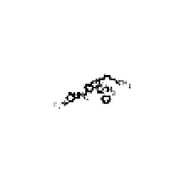 C=CCC/C=C\CCN(CC1=CC=C(C(=O)NCC2=CCCC(CN)C2)CC1)C(C)S/C=C(\C)[C@@H]1C=CC=CC1